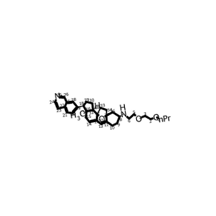 CCCOCCOCCN[C@@H]1CCC2=CC3=CC[C@]4(C)[C@@H](c5ccc6ccncc6c5)CC[C@H]4[C@@]34CC[C@]2(C1)O4